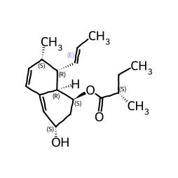 C/C=C/[C@@H]1[C@@H]2C(=C[C@@H](O)C[C@@H]2OC(=O)[C@@H](C)CC)C=C[C@@H]1C